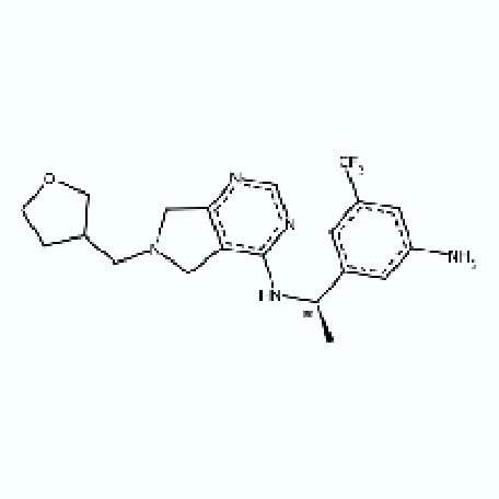 C[C@@H](Nc1ncnc2c1CN(CC1CCOC1)C2)c1cc(N)cc(C(F)(F)F)c1